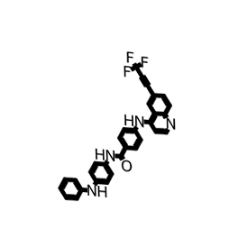 O=C(Nc1ccc(Nc2ccccc2)cc1)c1ccc(Nc2ccnc3ccc(C#CC(F)(F)F)cc23)cc1